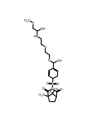 CSCC(O)NCCOCCOC(O)C1=CCC(S(=O)(=O)N2C(=O)C3CCC(C)(C2=O)C3(C)C)C=C1